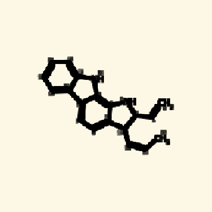 C=CC1Nc2c(ccc3c2[nH]c2ccccc23)C1/C=C\C